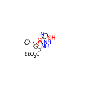 CCOC(=O)CC(NC(=O)Nc1c(O)ccn(C)c1=O)c1ccc(Cc2ccccc2)s1